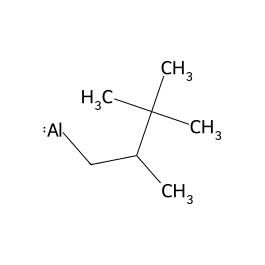 CC([CH2][Al])C(C)(C)C